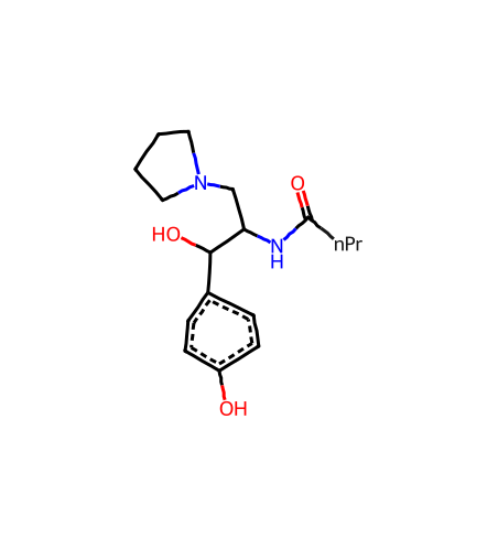 CCCC(=O)NC(CN1CCCC1)C(O)c1ccc(O)cc1